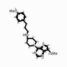 COc1ccc(CCCNC2CCN(c3ncnc4c(SC)csc34)CC2)cc1